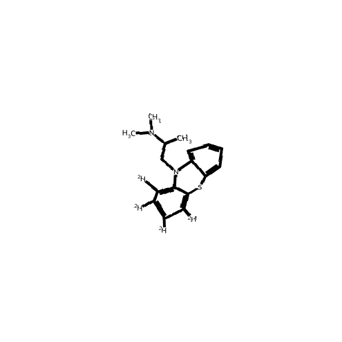 [2H]c1c([2H])c([2H])c2c(c1[2H])Sc1ccccc1N2CC(C)N(C)C